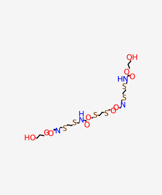 O=C(NCSCCSC/N=C\OOCSCCSCOC(=O)NCSCCSC/N=C/OOCCCO)OCCCO